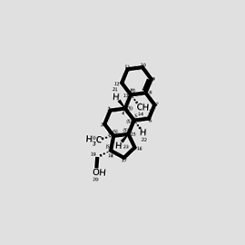 C[C@]12CC[C@H]3[C@@H](CCC4=CCCC[C@@]43C)[C@@H]1CC[C@@H]2CO